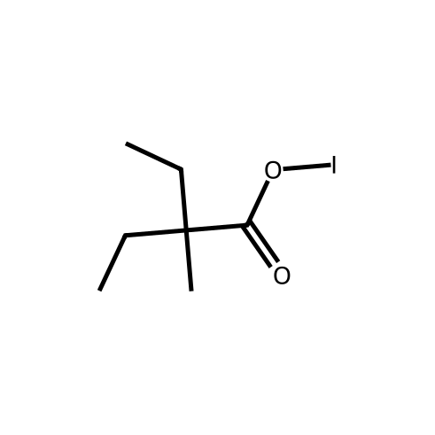 CCC(C)(CC)C(=O)OI